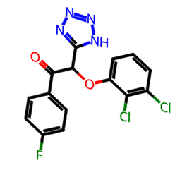 O=C(c1ccc(F)cc1)C(Oc1cccc(Cl)c1Cl)c1nnn[nH]1